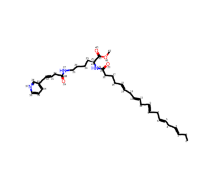 CCC=CCC=CCC=CCC=CCC=CCCCC(=O)N[C@@H](CCCCNC(=O)CC=Cc1cccnc1)C(=O)OC